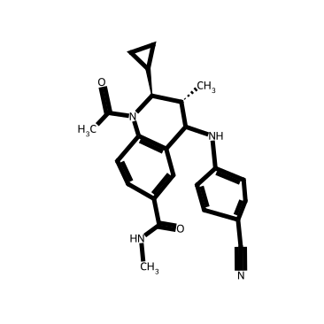 CNC(=O)c1ccc2c(c1)C(Nc1ccc(C#N)cc1)[C@@H](C)[C@H](C1CC1)N2C(C)=O